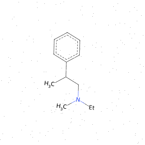 CCN(C)CC(C)c1ccccc1